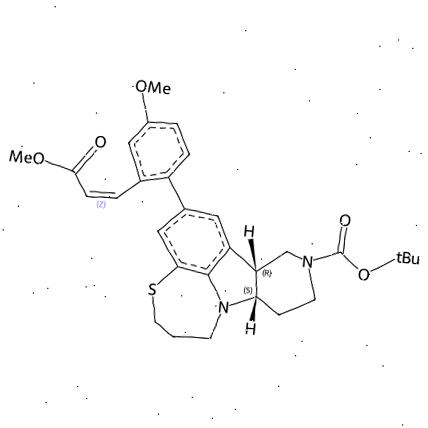 COC(=O)/C=C\c1cc(OC)ccc1-c1cc2c3c(c1)[C@@H]1CN(C(=O)OC(C)(C)C)CC[C@@H]1N3CCCS2